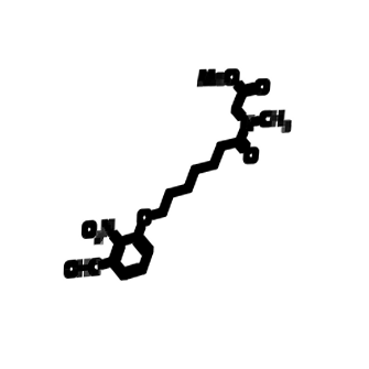 COC(=O)CN(C)C(=O)CCCCCCOc1cccc(C=O)c1[N+](=O)[O-]